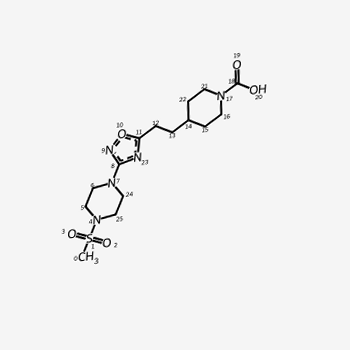 CS(=O)(=O)N1CCN(c2noc(CCC3CCN(C(=O)O)CC3)n2)CC1